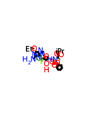 CCOc1nc(N)nc2c1ncn2[C@@H]1O[C@H](CO[P@@](=O)(N[C@H](C)C(=O)OC(C)C)Oc2ccccc2)[C@@H](O)[C@]1(F)Cl